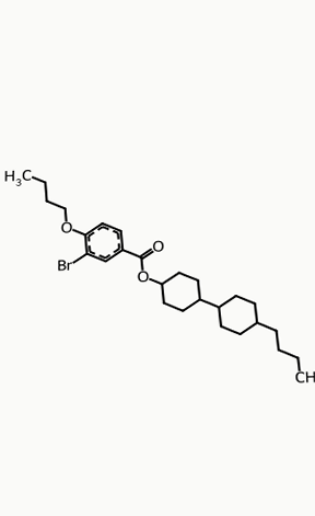 CCCCOc1ccc(C(=O)OC2CCC(C3CCC(CCCC)CC3)CC2)cc1Br